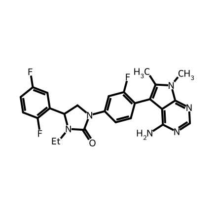 CCN1C(=O)N(c2ccc(-c3c(C)n(C)c4ncnc(N)c34)c(F)c2)CC1c1cc(F)ccc1F